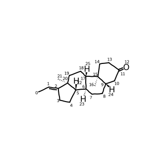 CC=C1CC[C@H]2[C@@H]3CC[C@H]4CC(=O)CC[C@]4(C)[C@H]3CC[C@]12C